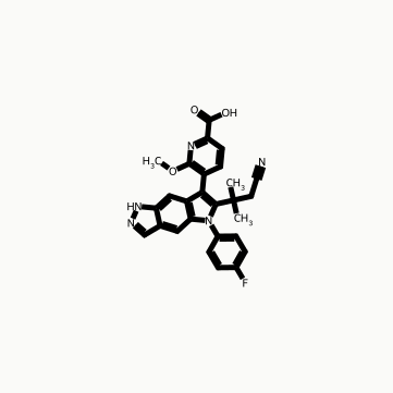 COc1nc(C(=O)O)ccc1-c1c(C(C)(C)CC#N)n(-c2ccc(F)cc2)c2cc3cn[nH]c3cc12